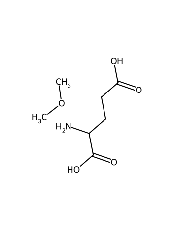 COC.NC(CCC(=O)O)C(=O)O